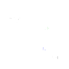 CN1C=CC(C(=O)O)=CC1.Cl